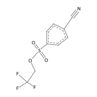 N#Cc1ccc(S(=O)(=O)OCC(F)(F)F)cc1